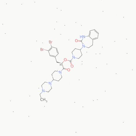 CCN1CCN(C2CCN(C(=O)[C@@H](Cc3ccc(Br)c(Br)c3)OC(=O)N3CCC(N4CCc5ccccc5NC4=O)CC3)CC2)CC1